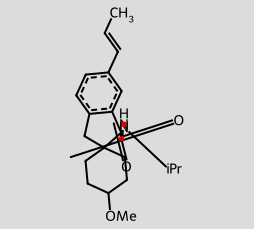 C/C=C/c1ccc2c(c1)C1(NC(=O)N(C(C)C)C1=O)C1(CCC(OC)CC1)C2